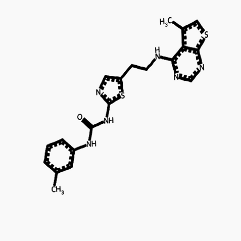 Cc1cccc(NC(=O)Nc2ncc(CCNc3ncnc4scc(C)c34)s2)c1